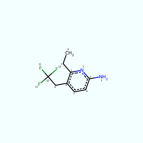 CCc1nc(N)ccc1CC(F)(F)F